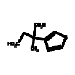 CC(CC(=O)O)(C(=O)O)c1ccsc1